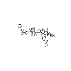 CC(C)(C)OC(=O)N[C@H]1CSc2ccc(C(=O)NNC(=O)C3CCN(C(=O)OCc4ccccc4)C3)cc2N(Cc2ccc(OC3CCCC3)cc2)C1=O